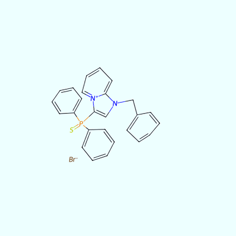 S=P(c1ccccc1)(c1ccccc1)c1cn(Cc2ccccc2)c2cccc[n+]12.[Br-]